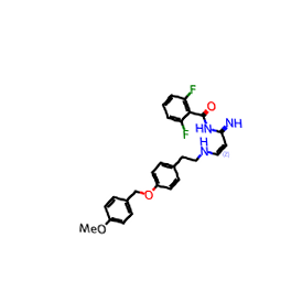 COc1ccc(COc2ccc(CCN/C=C\C(=N)NC(=O)c3c(F)cccc3F)cc2)cc1